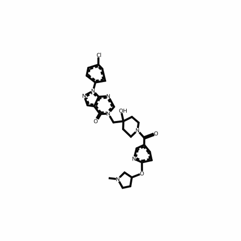 CN1CCC(Oc2ccc(C(=O)N3CCC(O)(Cn4cnc5c(cnn5-c5ccc(Cl)cc5)c4=O)CC3)cn2)C1